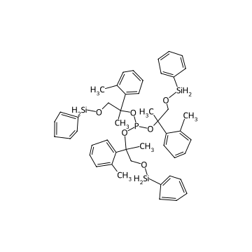 Cc1ccccc1C(C)(CO[SiH2]c1ccccc1)OP(OC(C)(CO[SiH2]c1ccccc1)c1ccccc1C)OC(C)(CO[SiH2]c1ccccc1)c1ccccc1C